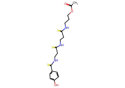 CC(=O)OCCCNC(=S)CCNC(=S)CCNC(=S)c1ccc(O)cc1